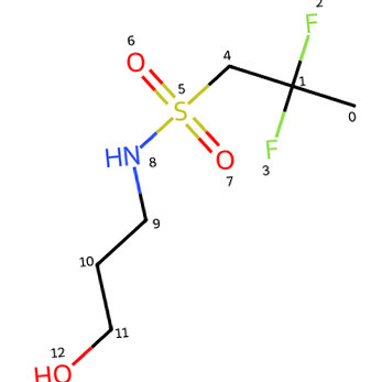 CC(F)(F)CS(=O)(=O)NCCCO